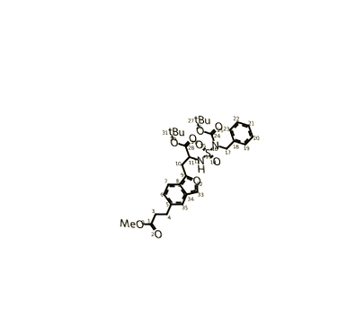 COC(=O)CCc1ccc2c(CC(NS(=O)(=O)N(Cc3ccccc3)C(=O)OC(C)(C)C)C(=O)OC(C)(C)C)occ2c1